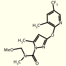 COCN(C)C(=O)n1nc(Oc2ncc(C(F)(F)F)cc2C)cc1C